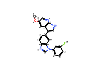 COc1cnc2[nH]cc(-c3ccc4ncn(-c5cccc(F)c5)c4c3)c2c1